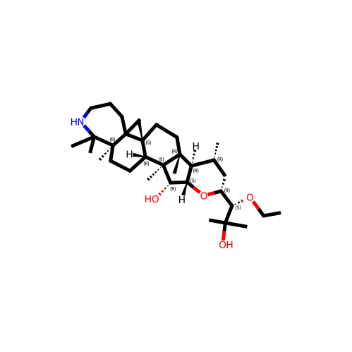 CCO[C@@H]([C@H]1C[C@@H](C)[C@H]2[C@H](O1)[C@H](O)[C@@]1(C)[C@@H]3CC[C@@]4(C)C(C)(C)NCCCC45C[C@@]35CC[C@]21C)C(C)(C)O